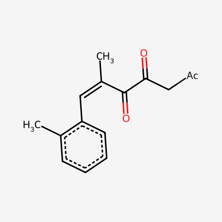 CC(=O)CC(=O)C(=O)C(C)=Cc1ccccc1C